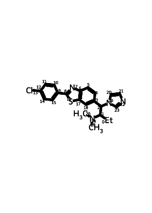 CCC(C(c1ccc2nc(-c3ccc(Cl)cc3)sc2c1)n1ccnc1)N(C)C